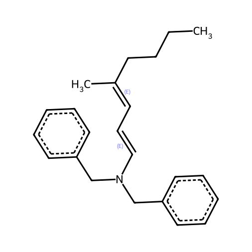 CCCC/C(C)=C/C=C/N(Cc1ccccc1)Cc1ccccc1